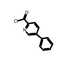 O=C(Cl)c1ccc(-c2ccccc2)cn1